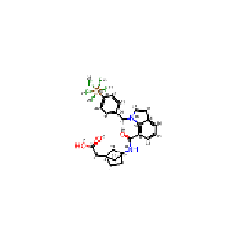 O=C(O)CC12CCC(NC(=O)c3cccc4ccn(Cc5ccc(S(F)(F)(F)(F)F)cc5)c34)(C1)C2